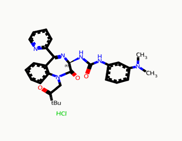 CN(C)c1cccc(NC(=O)N[C@@H]2N=C(c3ccccn3)c3ccccc3N(CC(=O)C(C)(C)C)C2=O)c1.Cl